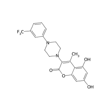 Cc1c(N2CCN(c3cccc(C(F)(F)F)c3)CC2)c(=O)oc2cc(O)cc(O)c12